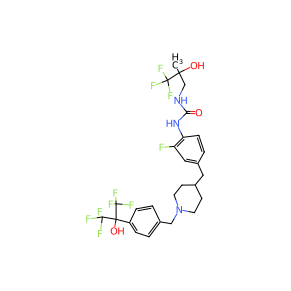 CC(O)(CNC(=O)Nc1ccc(CC2CCN(Cc3ccc(C(O)(C(F)(F)F)C(F)(F)F)cc3)CC2)cc1F)C(F)(F)F